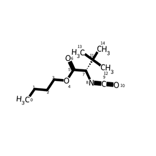 CCCCOC(=O)[C@@H](N=C=O)C(C)(C)C